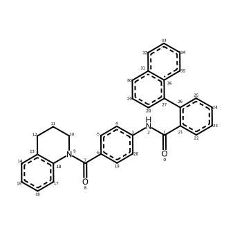 O=C(Nc1ccc(C(=O)N2CCCc3ccccc32)cc1)c1ccccc1-c1cccc2ccccc12